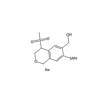 CSc1cc2c(cc1CO)C(S(C)(=O)=O)COC2.[Na]